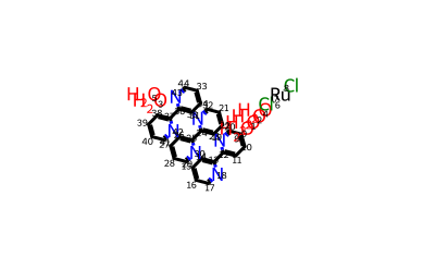 O.O.O.O.O.O.[Cl][Ru][Cl].c1ccc(-c2ccccn2)nc1.c1ccc(-c2ccccn2)nc1.c1ccc(-c2ccccn2)nc1